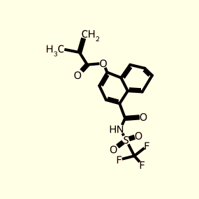 C=C(C)C(=O)Oc1ccc(C(=O)NS(=O)(=O)C(F)(F)F)c2ccccc12